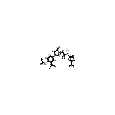 CC(C)c1nsc(NC(=O)CN2C[C@H](c3ccc(OC(F)F)c(C(C)C)c3)CC2=O)n1